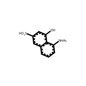 CC(=O)Nc1cccc2cc(S(=O)(=O)O)[c]c(O)c12